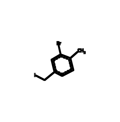 Cc1ccc(CI)cc1Br